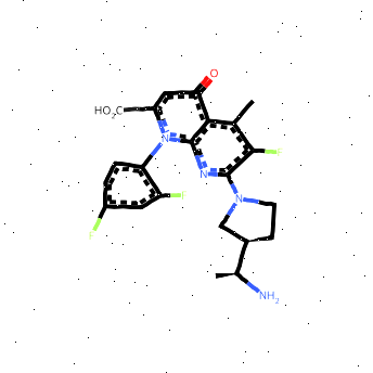 Cc1c(F)c(N2CC[C@@H]([C@H](C)N)C2)nc2c1c(=O)cc(C(=O)O)n2-c1ccc(F)cc1F